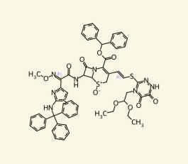 CCOC(Cn1c(S/C=C/C2=C(C(=O)OC(c3ccccc3)c3ccccc3)N3C(=O)C(NC(=O)/C(=N/OC)c4csc(NC(c5ccccc5)(c5ccccc5)c5ccccc5)n4)C3[S+]([O-])C2)n[nH]c(=O)c1=O)OCC